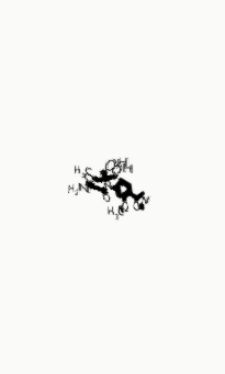 CCC(CO)(CO)N(C(=O)C(N)=O)c1ccc(-c2cnco2)c(OC)c1